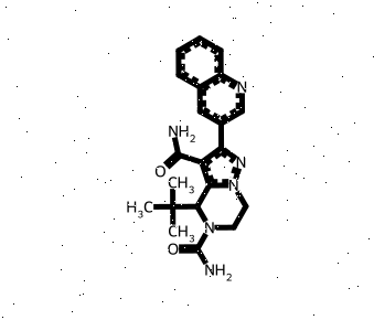 CC(C)(C)C1c2c(C(N)=O)c(-c3cnc4ccccc4c3)nn2CCN1C(N)=O